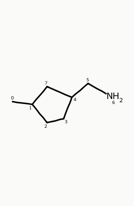 CC1CCC(CN)C1